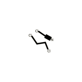 ClCCCl.N#CCl